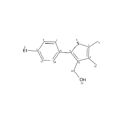 CCc1ccc(-c2sc(C)c(C)c2CO)cc1